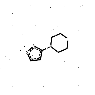 c1cc(N2CCOCC2)ns1